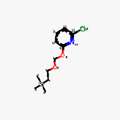 C[Si](C)(C)CCOCOc1cccc(Cl)n1